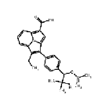 CCc1c(-c2ccc(C(O[SiH](C)C)C(C)(C)C)cc2)c2cc(C(C)=O)c3cccc1n32